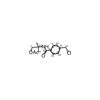 CC(=O)OCC(C)(C)NC(=O)c1ccc(CCl)cc1